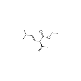 C=C(C)[C@@H](/C=C/C(C)C)C(=O)OCC